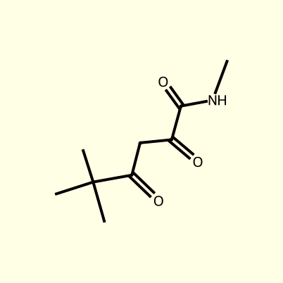 CNC(=O)C(=O)CC(=O)C(C)(C)C